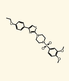 CCOc1ccc(-c2csc(N3CCN(S(=O)(=O)c4ccc(OC)c(OC)c4)CC3)n2)cc1